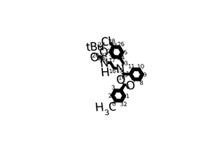 Cc1ccc(COc2ccccc2C(=O)N(CCNC(=O)OC(C)(C)C)Cc2ccc(Cl)cc2)cc1